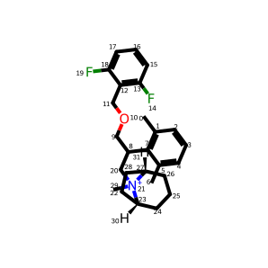 Cc1cccc(C)c1C(COCc1c(F)cccc1F)C[N+]1(C)[C@@H]2CCC[C@H]1CC2